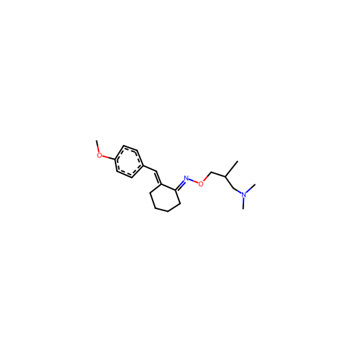 COc1ccc(C=C2CCCCC2=NOCC(C)CN(C)C)cc1